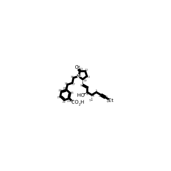 CCC#CC[C@H](C)[C@H](O)C=C[C@H]1CCC(=O)N1CCCc1cccc(C(=O)O)c1